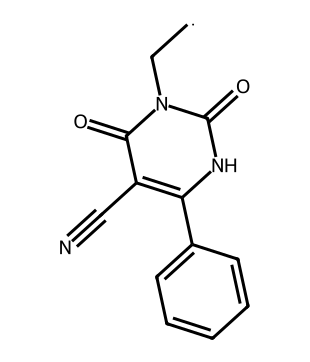 [CH2]Cn1c(=O)[nH]c(-c2ccccc2)c(C#N)c1=O